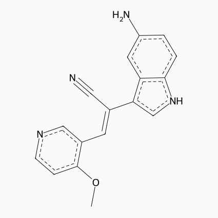 COc1ccncc1/C=C(\C#N)c1c[nH]c2ccc(N)cc12